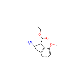 CCOC(=O)C1c2c(cccc2OC)CC1N